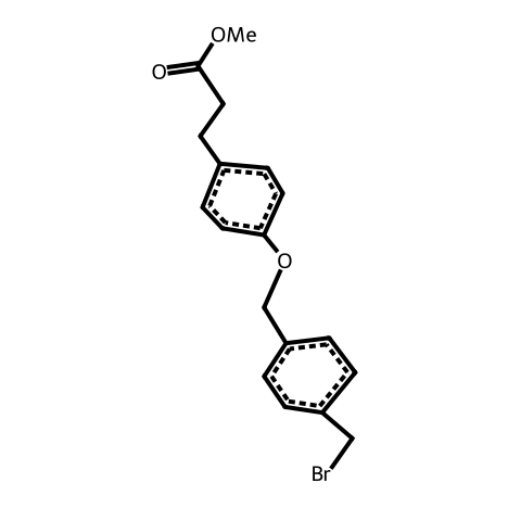 COC(=O)CCc1ccc(OCc2ccc(CBr)cc2)cc1